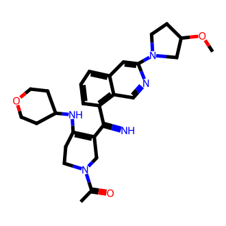 COC1CCN(c2cc3cccc(C(=N)C4=C(NC5CCOCC5)CCN(C(C)=O)C4)c3cn2)C1